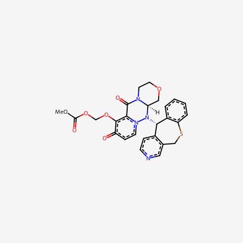 COC(=O)OCOc1c2n(ccc1=O)N([C@H]1c3ccncc3CSc3ccccc31)[C@@H]1COCCN1C2=O